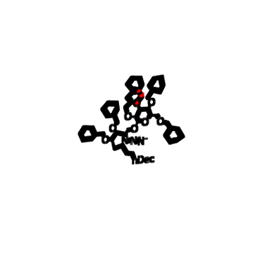 CCCCCCCCCCCCCC[C@@H](OCc1ccccc1)[C@@H](OCc1ccccc1)[C@H](CO[C@H]1O[C@H](COCc2ccccc2)[C@H](OCc2ccccc2)[C@H](OCc2ccccc2)[C@H]1OCc1ccccc1)N=[N+]=[N-]